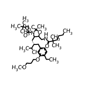 CCCCC(C)(C)C(=O)NCC1OC(C)(C)N(C(=O)OC(C)(C)C)C1C[C@H](Cc1ccc(CC)c(OCCCOC)c1)C(C)C